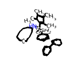 CC1=C(C)C(C)[C]([Ti]([CH3])([NH]C2CCCCCCCCC2)[SiH2]c2ccccc2)=C1C.c1ccc(-c2ccccc2)cc1